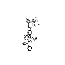 CCOP(=O)(CCC(Sc1nnn[nH]1)C1=CN2C(=O)[C@@](NC(=O)C(O)c3ccccc3)(C(=O)O)[C@@H]2SC1)OCC